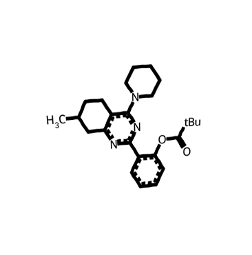 CC1CCc2c(nc(-c3ccccc3OC(=O)C(C)(C)C)nc2N2CCCCC2)C1